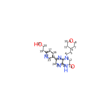 O=C1CN(CCC2CCOCC2)c2nc(-c3ccc(CCO)nc3)cnc2N1